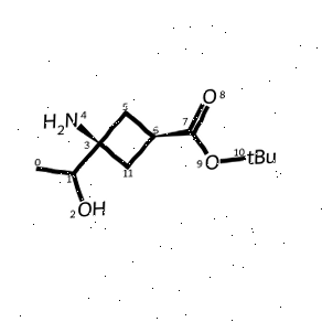 CC(O)[C@]1(N)C[C@@H](C(=O)OC(C)(C)C)C1